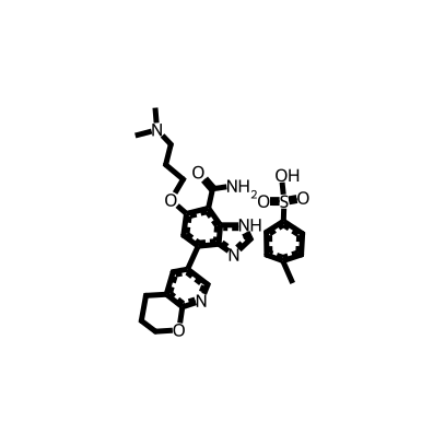 CN(C)CCCOc1cc(-c2cnc3c(c2)CCCO3)c2nc[nH]c2c1C(N)=O.Cc1ccc(S(=O)(=O)O)cc1